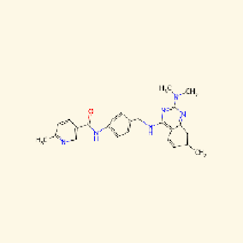 Cc1ccc2c(NCc3ccc(NC(=O)c4ccc(C)nc4)cc3)nc(N(C)C)nc2c1